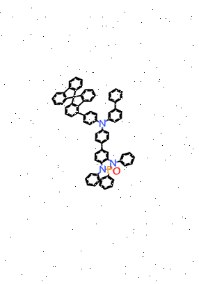 O=P1(c2ccccc2)N(c2ccccc2)c2ccc(-c3ccc(N(c4ccc(-c5cccc6c5-c5ccccc5C65c6ccccc6-c6ccccc65)cc4)c4cccc(-c5ccccc5)c4)cc3)cc2N1c1ccccc1